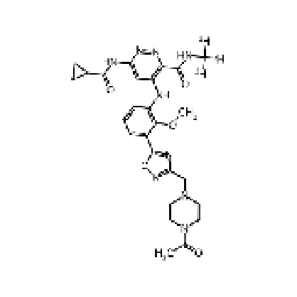 [2H]C([2H])([2H])NC(=O)c1nnc(NC(=O)C2CC2)cc1Nc1cccc(-c2nc(CN3CCN(C(C)=O)CC3)no2)c1OC